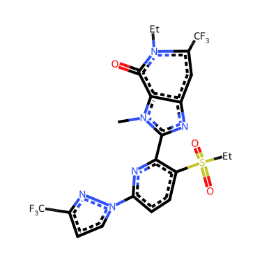 CCn1c(C(F)(F)F)cc2nc(-c3nc(-n4ccc(C(F)(F)F)n4)ccc3S(=O)(=O)CC)n(C)c2c1=O